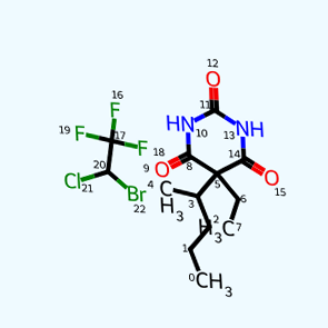 CCCC(C)C1(CC)C(=O)NC(=O)NC1=O.FC(F)(F)C(Cl)Br